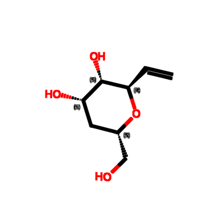 C=C[C@H]1O[C@H](CO)C[C@H](O)[C@@H]1O